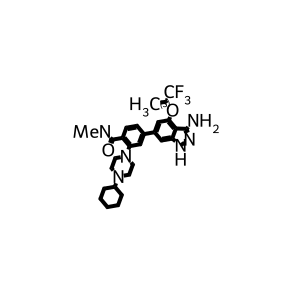 CNC(=O)c1ccc(-c2cc(O[C@@H](C)C(F)(F)F)c3c(N)n[nH]c3c2)cc1N1CCN(C2CCCCC2)CC1